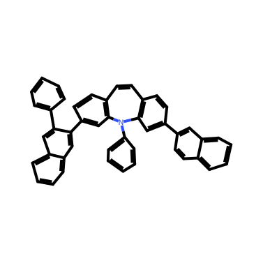 C1=Cc2ccc(-c3cc4ccccc4cc3-c3ccccc3)cc2N(c2ccccc2)c2cc(-c3ccc4ccccc4c3)ccc21